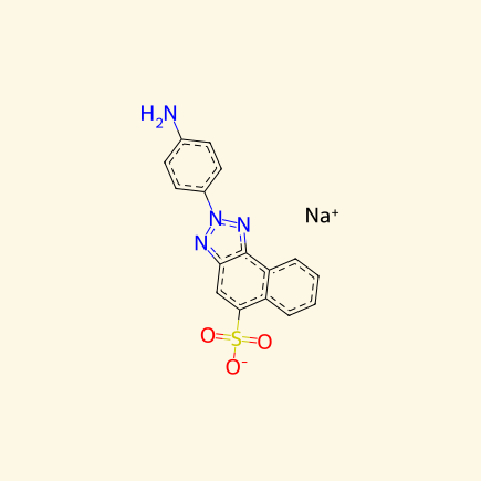 Nc1ccc(-n2nc3cc(S(=O)(=O)[O-])c4ccccc4c3n2)cc1.[Na+]